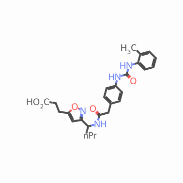 CCCC(NC(=O)Cc1ccc(NC(=O)Nc2ccccc2C)cc1)c1cc(CCC(=O)O)on1